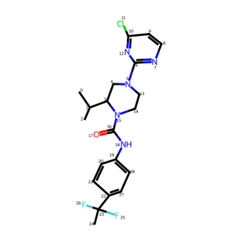 CC(C)C1CN(c2nccc(Cl)n2)CCN1C(=O)Nc1ccc(C(C)(F)F)cc1